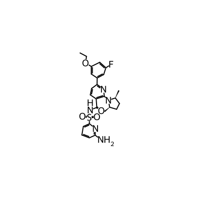 CCOc1cc(F)cc(-c2ccc(C(=O)NS(=O)(=O)c3cccc(N)n3)c(N3[C@H](C)CC[C@@H]3C)n2)c1